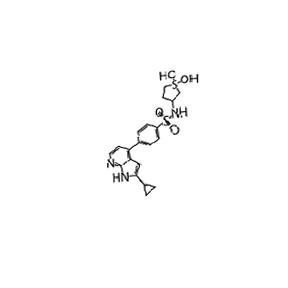 O=S(=O)(NC1CCS(O)(O)C1)c1ccc(-c2ccnc3[nH]c(C4CC4)cc23)cc1